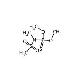 COP(=S)(OC)N(C)S(C)(=O)=O